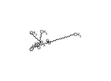 CCCCCCCCCCCCCCCCCCOC(=O)CCSCCC(NC(=O)C(CCCCCC)CCCCCCCC)C(=O)NCCN1CCCCC1